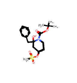 CC(C)(C)OC(=O)N1CCC(OS(C)(=O)=O)CC1(O)Cc1ccccc1